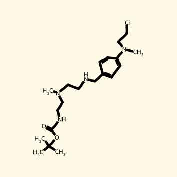 CN(CCNCc1ccc(N(C)CCCl)cc1)CCNC(=O)OC(C)(C)C